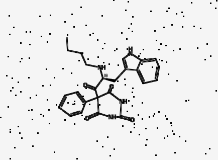 CCCCN[C@@H](Cc1c[nH]c2ccccc12)C(=O)C1(c2ccccc2)C(=O)NC(=O)NC1=O